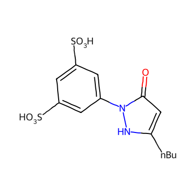 CCCCc1cc(=O)n(-c2cc(S(=O)(=O)O)cc(S(=O)(=O)O)c2)[nH]1